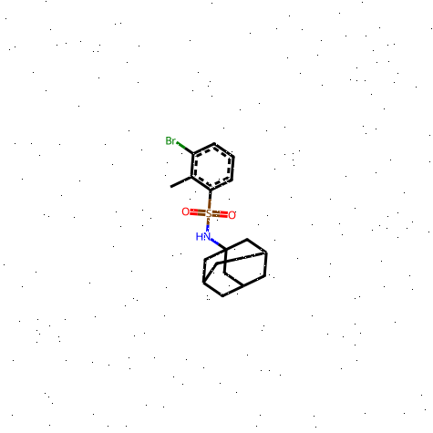 Cc1c(Br)cccc1S(=O)(=O)NC12CC3CC(CC(C3)C1)C2